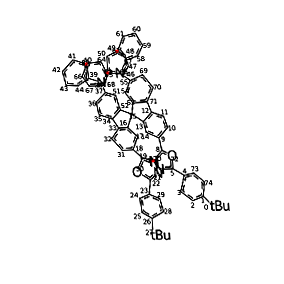 CC(C)(C)c1ccc(-c2nnc(-c3ccc4c(c3)C3(c5cc(-c6nnc(-c7ccc(C(C)(C)C)cc7)o6)ccc5-c5ccc(N(c6ccccc6)c6ccccc6)cc53)c3cc(N(c5ccccc5)c5ccccc5)ccc3-4)o2)cc1